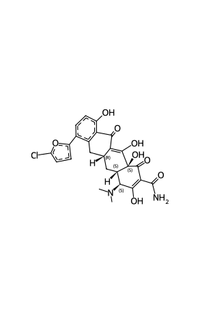 CN(C)[C@@H]1C(O)=C(C(N)=O)C(=O)[C@@]2(O)C(O)=C3C(=O)c4c(O)ccc(-c5ccc(Cl)o5)c4C[C@H]3C[C@@H]12